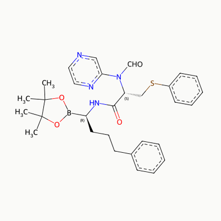 CC1(C)OB([C@H](CCCc2ccccc2)NC(=O)[C@@H](CSc2ccccc2)N(C=O)c2cnccn2)OC1(C)C